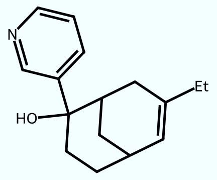 CCC1=CC2CCC(O)(c3cccnc3)C(C1)C2